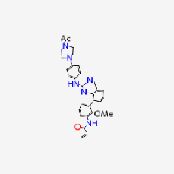 C=CC(=O)Nc1cccc(-c2cccc3cnc(Nc4ccc(N5CCN(C(C)=O)CC5)cc4)nc23)c1OC